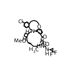 CO[C@H]1/C=C/C[C@H](C)C[S@@](=O)(NC(=O)N[C@H]2CC2(F)F)=NC(=O)c2ccc3c(c2)N(Cc2ccc(Cl)cc2CCCCO3)C[C@@H]2CC[C@H]21